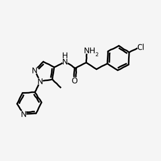 Cc1c(NC(=O)C(N)Cc2ccc(Cl)cc2)cnn1-c1ccncc1